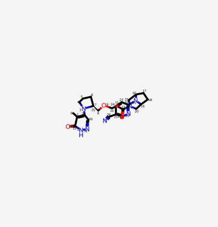 Cc1c(N2CCC[C@H]2COCCC(=O)N2CC3CCC(C2)N3c2ccc(C#N)cn2)cn[nH]c1=O